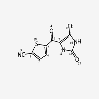 CCC1=C(C(=O)c2ccc(C#N)s2)[N]C(=O)N1